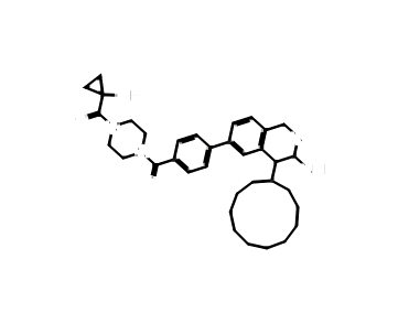 NC1NCc2ccc(-c3ccc(C(=O)N4CCN(C(=O)C5(O)CC5)CC4)cc3)cc2C1C1CCCCCCCCCC1